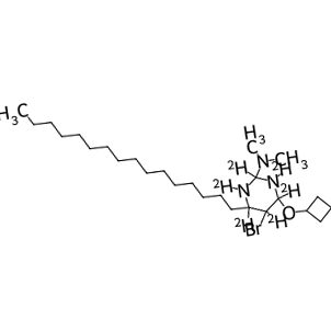 [2H]N1C([2H])(N(C)C)N([2H])C([2H])(OC2CCC2)C([2H])(Br)C1([2H])CCCCCCCCCCCCCCCC